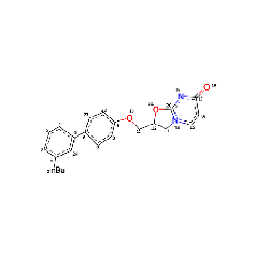 CCCCc1cccc(-c2ccc(OCC3Cn4ccc(=O)nc4O3)cc2)c1